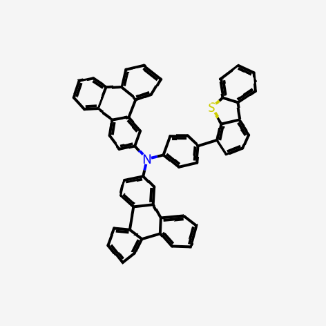 c1ccc2c(c1)sc1c(-c3ccc(N(c4ccc5c6ccccc6c6ccccc6c5c4)c4ccc5c6ccccc6c6ccccc6c5c4)cc3)cccc12